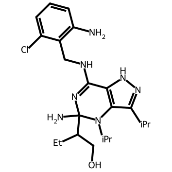 CCC(CO)C1(N)N=C(NCc2c(N)cccc2Cl)c2[nH]nc(C(C)C)c2N1C(C)C